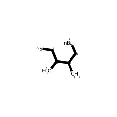 CCCCCC(C)C(C)C[S]